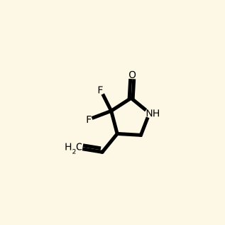 C=CC1CNC(=O)C1(F)F